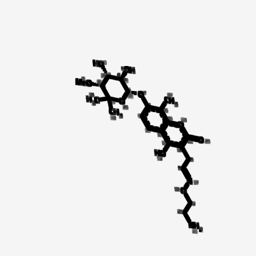 CO[C@@H]1[C@H](O)[C@@H](O)[C@H](Oc2ccc3c(O)c(CC=NOCCN)c(=O)oc3c2C)OC1(C)C